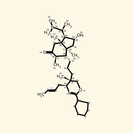 C/C=C/C[C@@H]1N=C(C2CCCCC2)OC[C@@]1(C)CCC[C@@H]1[C@@H](C)C(=O)C[C@]2(C)[C@@H]([C@H](C)N(C)C)[C@H](O)C[C@@]12C